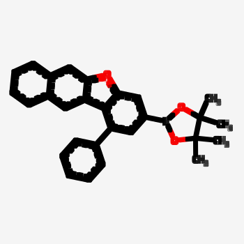 CC1(C)OB(c2cc(-c3ccccc3)c3c(c2)oc2cc4ccccc4cc23)OC1(C)C